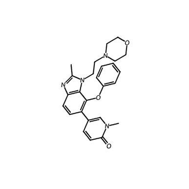 Cc1nc2ccc(-c3ccc(=O)n(C)c3)c(Oc3ccccc3)c2n1CCN1CCOCC1